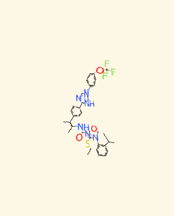 CCS/C(=N\C(=O)NC(C)C(C)c1ccc(C(=N)/N=C\Nc2ccc(OC(F)(F)F)cc2)cc1)N(C=O)c1ccccc1C(C)C